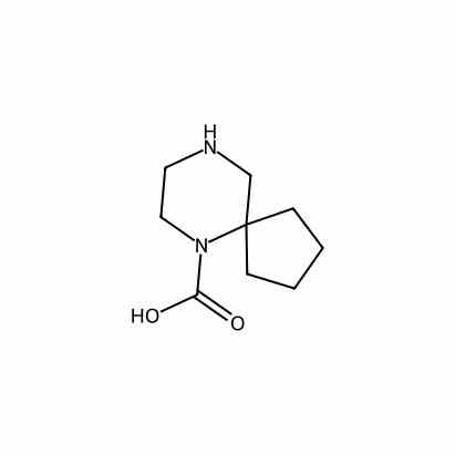 O=C(O)N1CCNCC12CCCC2